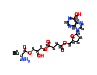 CC[C@H](C)[C@H](N)C(=O)OCC(O)COC(=O)CCC(=O)OC[C@@H]1CC[C@H](n2cnc3c(O)ncnc32)O1